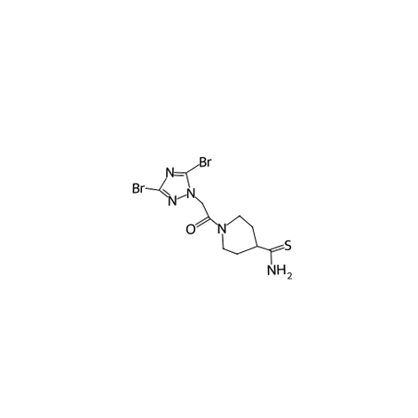 NC(=S)C1CCN(C(=O)Cn2nc(Br)nc2Br)CC1